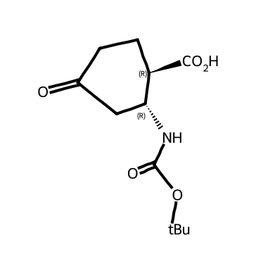 CC(C)(C)OC(=O)N[C@@H]1CC(=O)CC[C@H]1C(=O)O